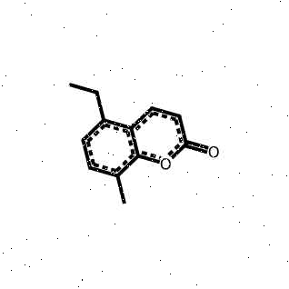 CCc1ccc(C)c2oc(=O)ccc12